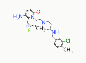 C=C/C(F)=C\c1c(N)ccc(=O)n1CCN1CCC(NCc2ccc(C)c(Cl)c2)CC1